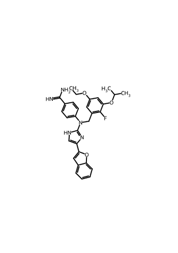 CCOc1cc(CN(c2ccc(C(=N)N)cc2)c2nc(-c3cc4ccccc4o3)c[nH]2)c(F)c(OC(C)C)c1